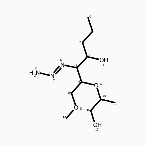 CCCC(O)C(N=NN)C(COC)OC(C)CO